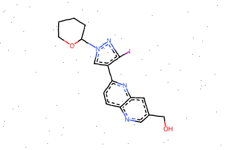 OCc1cnc2ccc(-c3cn(C4CCCCO4)nc3I)nc2c1